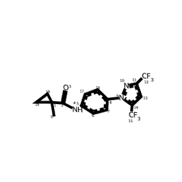 CC1(C(=O)Nc2ccc(-n3nc(C(F)(F)F)cc3C(F)(F)F)cc2)CC1